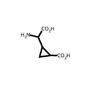 NC(C(=O)O)C1CC1C(=O)O